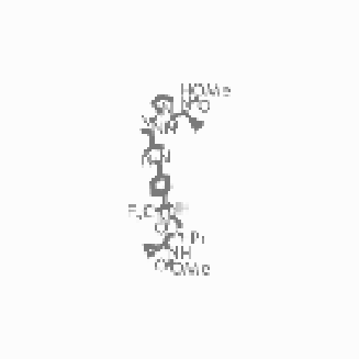 CCCN(Cc1nc(C(F)(F)F)c(-c2ccc(-c3ncc(-c4cnc([C@@H]5CCCN5C(=O)C(NC(=O)OC)C5CC5)[nH]4)cn3)cc2)[nH]1)C(=O)C(NC(=O)OC)C1CC1